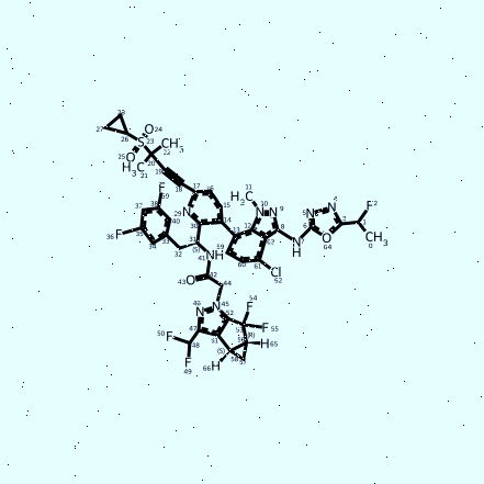 CC(F)c1nnc(Nc2nn(C)c3c(-c4ccc(C#CC(C)(C)S(=O)(=O)C5CC5)nc4[C@H](Cc4cc(F)cc(F)c4)NC(=O)Cn4nc(C(F)F)c5c4C(F)(F)[C@@H]4C[C@H]54)ccc(Cl)c23)o1